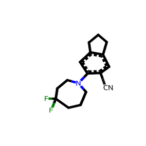 N#Cc1cc2c(cc1N1CCCC(F)(F)CC1)CCC2